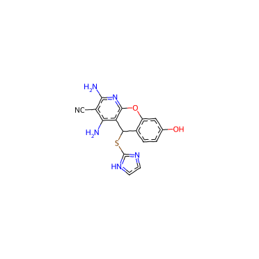 N#Cc1c(N)nc2c(c1N)C(Sc1ncc[nH]1)c1ccc(O)cc1O2